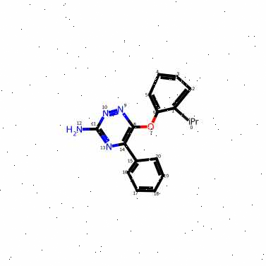 CC(C)c1ccccc1Oc1nnc(N)nc1-c1ccccc1